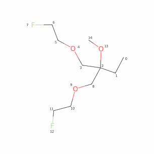 CCC(COCCF)(COCCF)OC